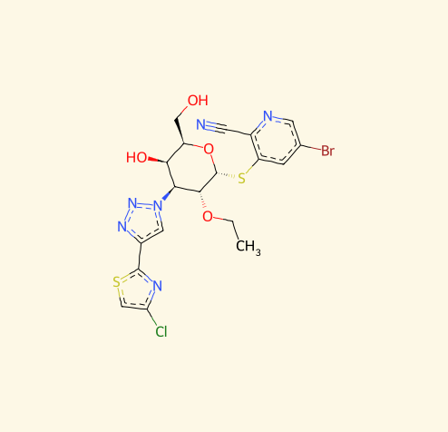 CCO[C@@H]1[C@@H](n2cc(-c3nc(Cl)cs3)nn2)[C@@H](O)[C@@H](CO)O[C@@H]1Sc1cc(Br)cnc1C#N